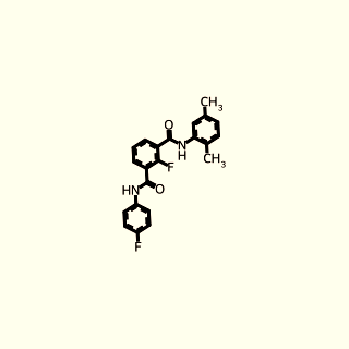 Cc1ccc(C)c(NC(=O)c2cccc(C(=O)Nc3ccc(F)cc3)c2F)c1